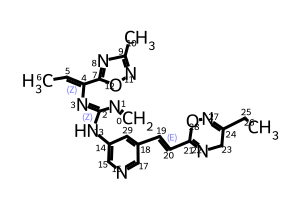 C=N/C(=N\C(=C/C)c1nc(C)no1)Nc1cncc(/C=C/C2=NCC(CC)=NO2)c1